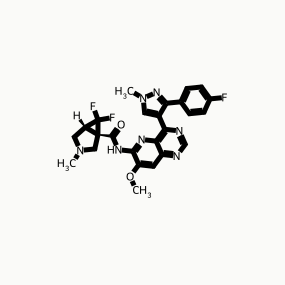 COc1cc2ncnc(-c3cn(C)nc3-c3ccc(F)cc3)c2nc1NC(=O)[C@@]12CN(C)C[C@@H]1C2(F)F